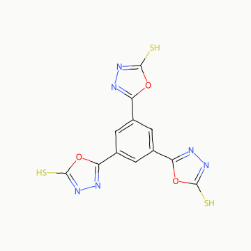 Sc1nnc(-c2cc(-c3nnc(S)o3)cc(-c3nnc(S)o3)c2)o1